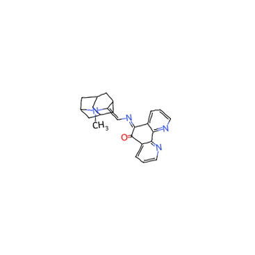 CN1/C(=C/N=C2\C(=O)c3cccnc3-c3ncccc32)C2CC3CC(C2)CC1C3